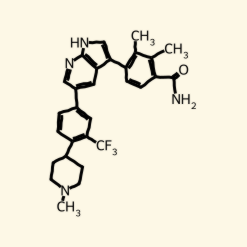 Cc1c(C(N)=O)ccc(-c2c[nH]c3ncc(-c4ccc(C5CCN(C)CC5)c(C(F)(F)F)c4)cc23)c1C